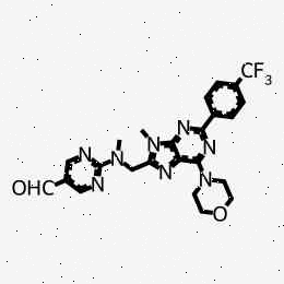 CN(Cc1nc2c(N3CCOCC3)nc(-c3ccc(C(F)(F)F)cc3)nc2n1C)c1ncc(C=O)cn1